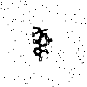 CCC(Br)(Br)c1cn(C)cc(-c2cccc(Cl)c2OC)c1=O